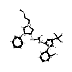 COCCN1C[C@H](NC(=O)Nc2cc(C(C)(C)C)nn2-c2ccccc2F)[C@@H](c2ccccc2)C1